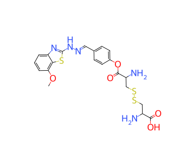 COc1cccc2nc(NN=Cc3ccc(OC(=O)C(N)CSSCC(N)C(=O)O)cc3)sc12